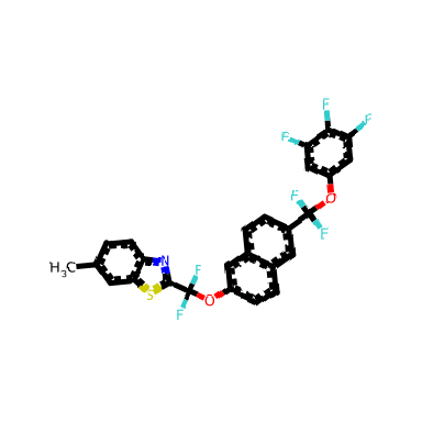 Cc1ccc2nc(C(F)(F)Oc3ccc4cc(C(F)(F)Oc5cc(F)c(F)c(F)c5)ccc4c3)sc2c1